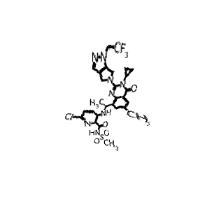 Cc1cc([C@@H](C)Nc2ccc(Cl)nc2C(=O)NS(C)(=O)=O)c2nc(N3Cc4cnn(CC(F)(F)F)c4C3)n(C3CC3)c(=O)c2c1